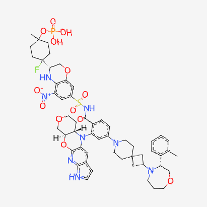 Cc1ccccc1[C@@H]1COCCCN1C1CC2(CCN(c3ccc(C(=O)NS(=O)(=O)c4cc5c(c([N+](=O)[O-])c4)N[C@H](C4(F)CCC(C)(OP(=O)(O)O)CC4)CO5)c(N4c5cc6cc[nH]c6nc5O[C@H]5COCC[C@@H]54)c3)CC2)C1